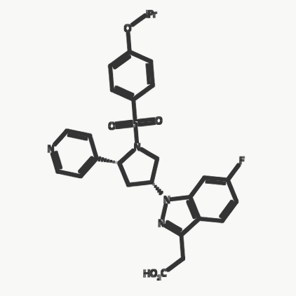 CC(C)Oc1ccc(S(=O)(=O)N2C[C@H](n3nc(CC(=O)O)c4ccc(F)cc43)C[C@@H]2c2ccncc2)cc1